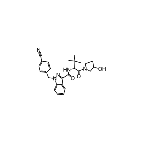 CC(C)(C)C(NC(=O)c1nn(Cc2ccc(C#N)cc2)c2ccccc12)C(=O)N1CCC(O)C1